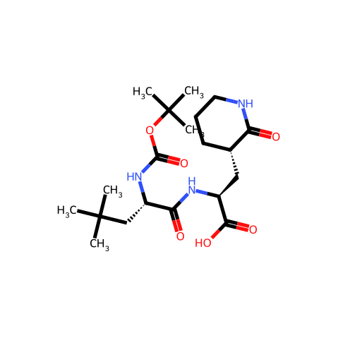 CC(C)(C)C[C@H](NC(=O)OC(C)(C)C)C(=O)N[C@@H](C[C@@H]1CCCNC1=O)C(=O)O